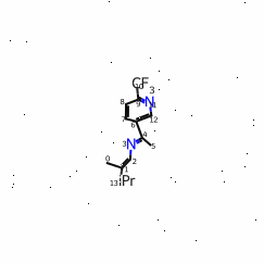 C/C(=C\N=C(/C)c1ccc(C(F)(F)F)nc1)C(C)C